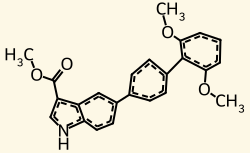 COC(=O)c1c[nH]c2ccc(-c3ccc(-c4c(OC)cccc4OC)cc3)cc12